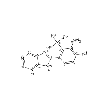 Nc1c(Cl)ccc(-c2nc3cncnc3[nH]2)c1C(F)(F)F